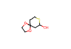 OC1CC2(CCS1)OCCO2